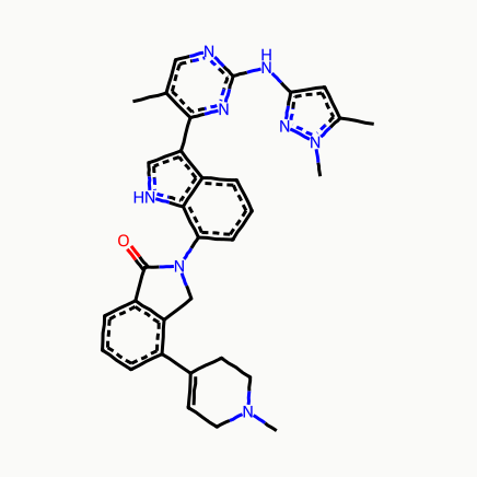 Cc1cnc(Nc2cc(C)n(C)n2)nc1-c1c[nH]c2c(N3Cc4c(cccc4C4=CCN(C)CC4)C3=O)cccc12